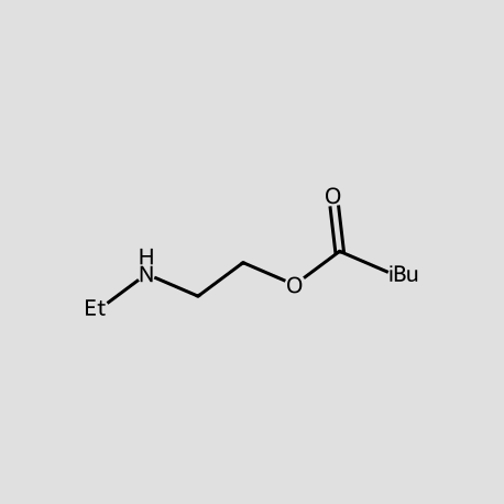 CCNCCOC(=O)C(C)CC